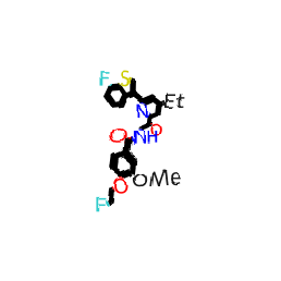 CCc1cc(C(=O)CNC(=O)c2ccc(OCCF)c(OC)c2)nc(-c2csc3c(F)cccc23)c1